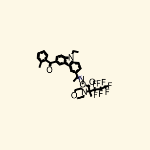 CCn1c2ccc(C(=O)c3ccccc3C)cc2c2cc(/C(C)=N/OC(=O)C(C)(N3CCOCC3)C(F)(F)C(F)(F)C(F)(F)F)ccc21